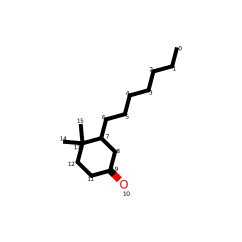 CCCCCCCC1CC(=O)CCC1(C)C